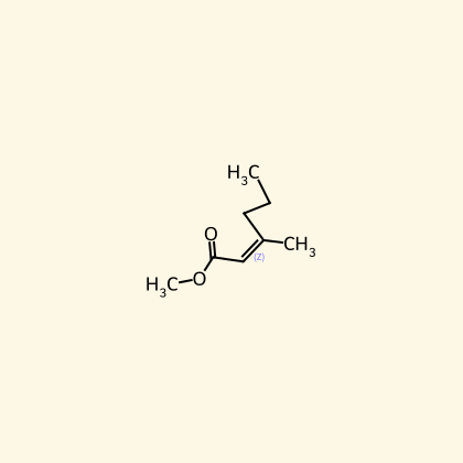 CCC/C(C)=C\C(=O)OC